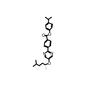 CC(C)CC[C@@H](C)Oc1cnc(-c2ccc(C(=O)Oc3ccc(C(C)C)cc3)cc2)nc1